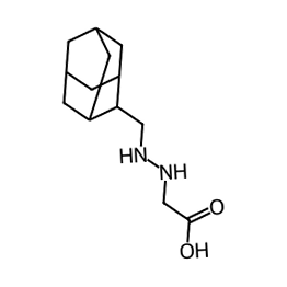 O=C(O)CNNCC1C2CC3CC(C2)CC1C3